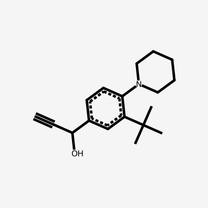 C#CC(O)c1ccc(N2CCCCC2)c(C(C)(C)C)c1